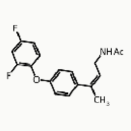 CC(=O)NC/C=C(/C)c1ccc(Oc2ccc(F)cc2F)cc1